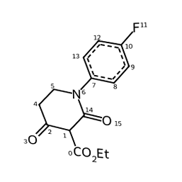 CCOC(=O)C1C(=O)CCN(c2ccc(F)cc2)C1=O